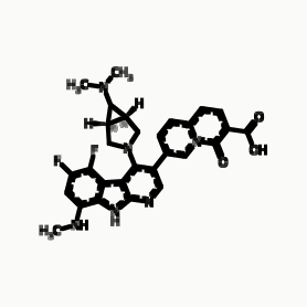 CNc1cc(F)c(F)c2c1[nH]c1ncc(-c3ccc4ccc(C(=O)O)c(=O)n4c3)c(N3C[C@@H]4C(N(C)C)[C@@H]4C3)c12